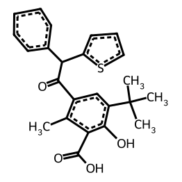 Cc1c(C(=O)C(c2ccccc2)c2cccs2)cc(C(C)(C)C)c(O)c1C(=O)O